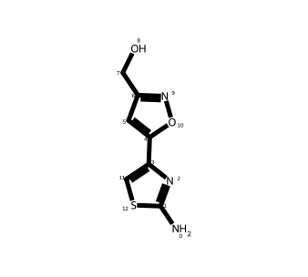 Nc1nc(-c2cc(CO)no2)cs1